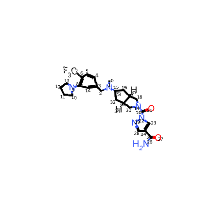 CN(Cc1ccc(C(F)(F)F)c(N2CCCC2)c1)[C@H]1C[C@@H]2CN(C(=O)n3cc(C(N)=O)cn3)C[C@@H]2C1